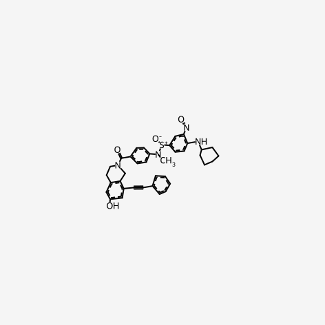 CN(c1ccc(C(=O)N2CCc3cc(O)cc(C#Cc4ccccc4)c3C2)cc1)[S+]([O-])c1ccc(NC2CCCCC2)c(N=O)c1